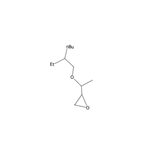 CCCCC(CC)COC(C)C1CO1